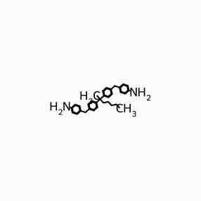 CCCCCC(C)(c1ccc(Cc2ccc(N)cc2)cc1)c1ccc(Cc2ccc(N)cc2)cc1